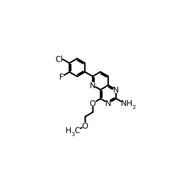 COCCOc1nc(N)nc2ccc(-c3ccc(Cl)c(F)c3)nc12